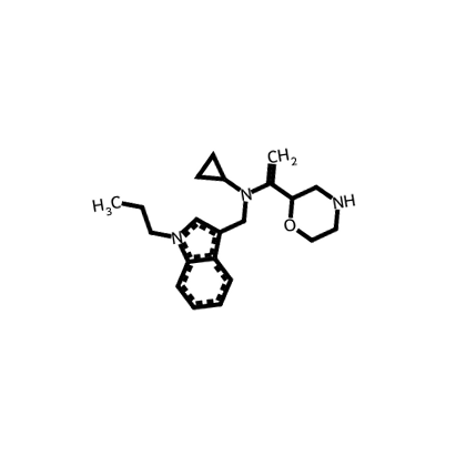 C=C(C1CNCCO1)N(Cc1cn(CCC)c2ccccc12)C1CC1